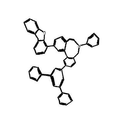 c1ccc(-c2cc(-c3ccccc3)cc(-c3ccc4c(c3)-c3cc(-c5cccc6c5oc5ccccc56)ccc3CN(c3ccccc3)C4)c2)cc1